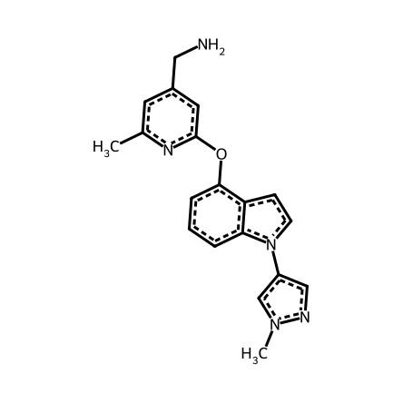 Cc1cc(CN)cc(Oc2cccc3c2ccn3-c2cnn(C)c2)n1